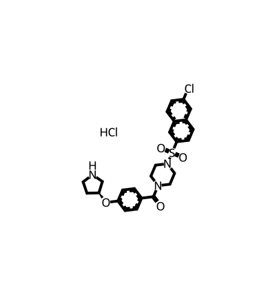 Cl.O=C(c1ccc(O[C@H]2CCNC2)cc1)N1CCN(S(=O)(=O)c2ccc3cc(Cl)ccc3c2)CC1